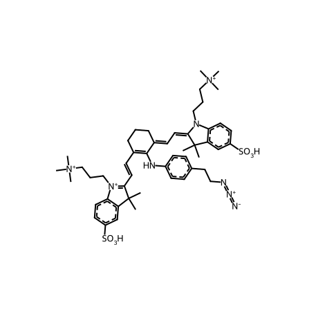 CC1(C)C(/C=C/C2=C(Nc3ccc(CCN=[N+]=[N-])cc3)C(=C/C=C3/N(CCC[N+](C)(C)C)c4ccc(S(=O)(=O)O)cc4C3(C)C)/CCC2)=[N+](CCC[N+](C)(C)C)c2ccc(S(=O)(=O)O)cc21